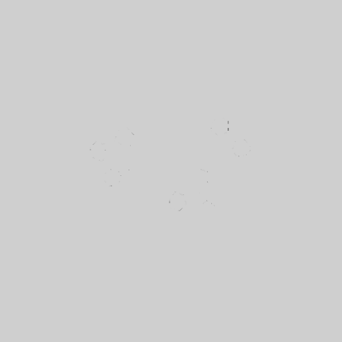 Cc1ccccc1C(OC(=O)CCCCc1cccc(C[C@H](NC(=O)OCC2c3ccccc3-c3ccccc32)C(=O)N2CCCCC2)c1)(c1ccccc1)c1ccc(C2CCCCCCC2)cc1